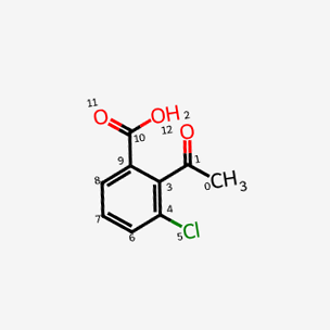 CC(=O)c1c(Cl)cccc1C(=O)O